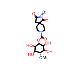 CCN1C(=O)CC2(CCN(C(=O)O[C@H]3C(O)C(O)[C@@H](OC)C(O)C3O)CC2)C1=O